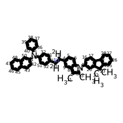 [2H]/C(=C(/[2H])c1ccc2c(c1)c(C)c(C)n2-c1ccc2c(c1)C(C)(C)c1ccccc1-2)c1ccc(N(c2ccccc2)c2ccc3ccccc3c2)cc1